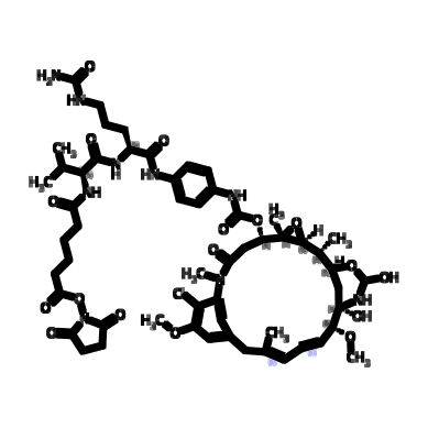 COc1cc2cc(c1Cl)N(C)C(=O)C[C@H](OC(=O)Nc1ccc(NC(=O)[C@H](CCCNC(N)=O)NC(=O)[C@@H](NC(=O)CCCCC(=O)ON3C(=O)CCC3=O)C(C)C)cc1)[C@]1(C)O[C@H]1[C@H](C)[C@@H]1C[C@@](O)(NC(O)O1)[C@H](OC)/C=C/C=C(\C)C2